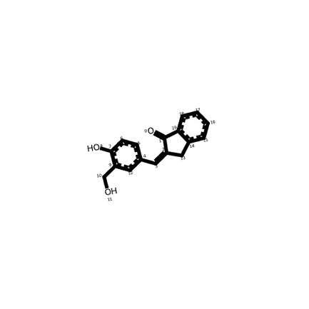 O=C1C(=Cc2ccc(O)c(CO)c2)Cc2ccccc21